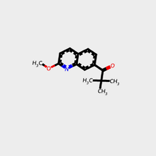 COc1ccc2ccc(C(=O)C(C)(C)C)cc2n1